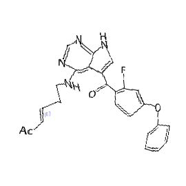 CC(=O)/C=C/CCNc1ncnc2[nH]cc(C(=O)c3ccc(Oc4ccccc4)cc3F)c12